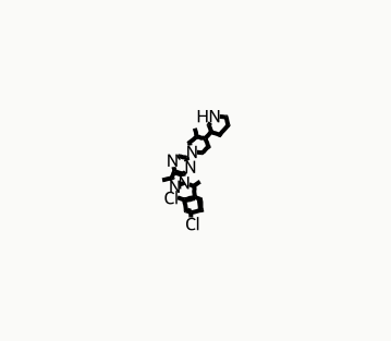 Cc1nn(C(C)c2ccc(Cl)cc2Cl)c2nc(N3CCC(C4CCCNC4)C(C)C3)cnc12